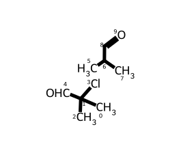 CC(C)(Cl)C=O.CC(C)C=O